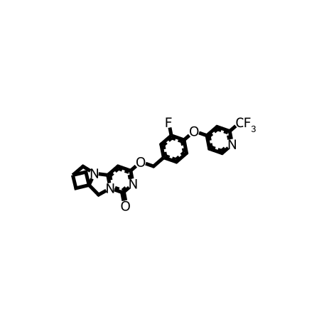 O=c1nc(OCc2ccc(Oc3ccnc(C(F)(F)F)c3)c(F)c2)cc2n1CC13CC(CN21)C3